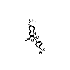 COc1ccc2nc(S(=O)(=O)c3ccc([N+](=O)[O-])cc3)c(C=O)cc2c1